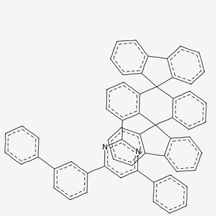 c1ccc(-c2cccc(-c3cc(-c4ccccc4)nc(-c4cccc5c4C4(c6ccccc6-c6ccccc64)c4ccccc4C54c5ccccc5-c5ccccc54)n3)c2)cc1